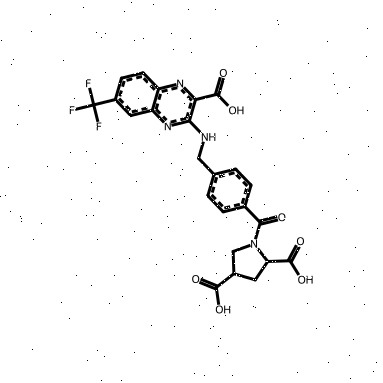 O=C(O)c1nc2ccc(C(F)(F)F)cc2nc1NCc1ccc(C(=O)N2CC(C(=O)O)CC2C(=O)O)cc1